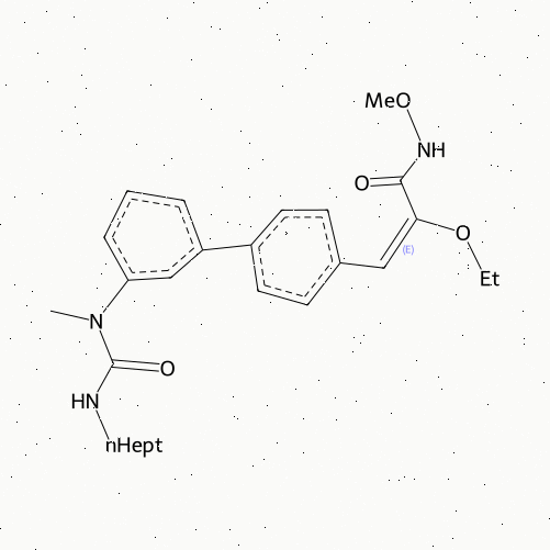 CCCCCCCNC(=O)N(C)c1cccc(-c2ccc(/C=C(/OCC)C(=O)NOC)cc2)c1